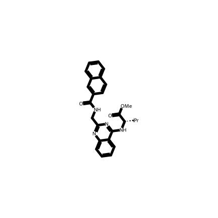 COC(=O)[C@@H](Nc1nc(CNC(=O)c2ccc3ccccc3c2)nc2ccccc12)C(C)C